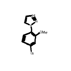 COc1cc(C#N)ccc1-n1ccnn1